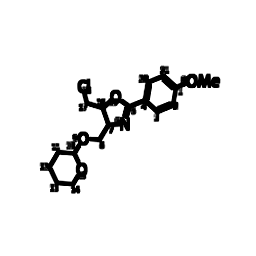 COc1ccc(C2=NC(COC3CCCCO3)C(CCl)O2)cc1